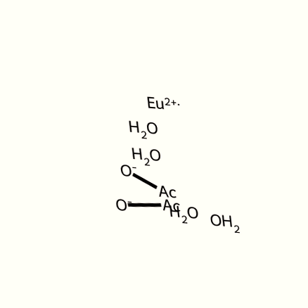 CC(=O)[O-].CC(=O)[O-].O.O.O.O.[Eu+2]